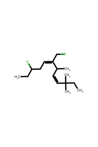 CCC(F)C/C=C(/CF)C(C)/C=C\C(C)(C)CC